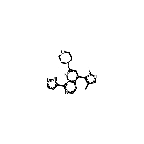 Cc1cnn(C)c1-c1cc(N2CCOC[C@H]2C)nc2c(-c3ccn[nH]3)nccc12